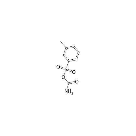 Cc1cccc(S(=O)(=O)OC(N)=O)c1